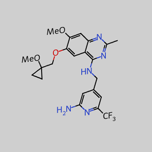 COc1cc2nc(C)nc(NCc3cc(N)nc(C(F)(F)F)c3)c2cc1OCC1(OC)CC1